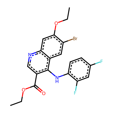 CCOC(=O)c1cnc2cc(OCC)c(Br)cc2c1Nc1ccc(F)cc1F